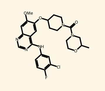 COc1cc2ncnc(Nc3ccc(F)c(Cl)c3)c2cc1OC1CCN(C(=O)N2CCOC(C)C2)CC1